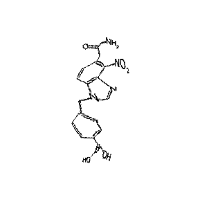 NC(=O)c1ccc2c(ncn2Cc2ccc(B(O)O)cc2)c1[N+](=O)[O-]